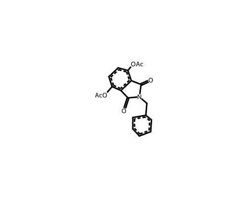 CC(=O)Oc1ccc(OC(C)=O)c2c1C(=O)N(Cc1ccccc1)C2=O